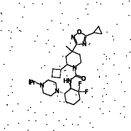 CC(C)N1CCN([C@H]2CCCC(F)(F)[C@@H]2NC(=O)N2CCC(C)(c3noc(C4CC4)n3)CC2C2CCC2)CC1